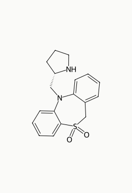 O=S1(=O)Cc2ccccc2N(C[C@@H]2CCCN2)c2ccccc21